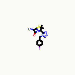 CC1(C)SC2C(N)C(=O)N2C1c1nnnn1Cc1ccc(I)cc1